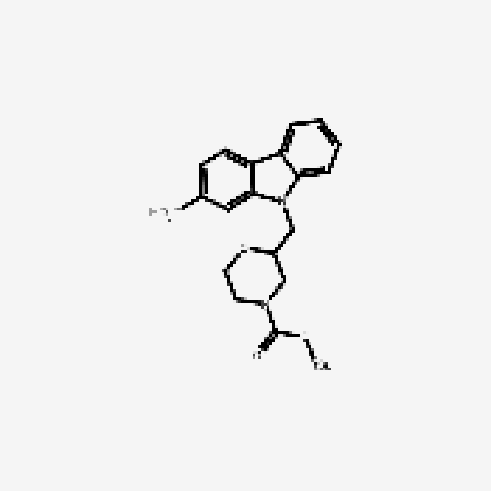 CC(C)(C)OC(=O)N1CCOC(Cn2c3ccccc3c3ccc(C(=O)O)cc32)C1